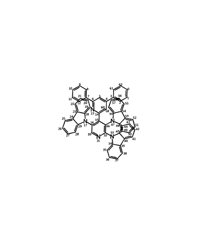 c1ccc(-c2cc(-c3ccccc3)nc(-c3c(-n4c5ccccc5c5ccccc54)cnc(-n4c5ccccc5c5ccccc54)c3-n3c4ccccc4c4ccccc43)c2)cc1